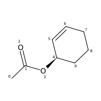 CC(=O)O[C@H]1C=CCCC1